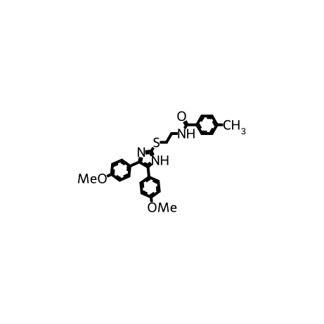 COc1ccc(-c2nc(SCCNC(=O)c3ccc(C)cc3)[nH]c2-c2ccc(OC)cc2)cc1